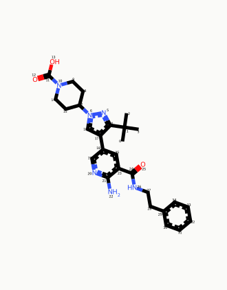 CC(C)(C)c1nn(C2CCN(C(=O)O)CC2)cc1-c1cnc(N)c(C(=O)NCCc2ccccc2)c1